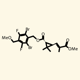 COCc1c(F)c(Br)c(COC(=O)[C@@H]2[C@@H](/C=C(\C)C(=O)OC)C2(C)C)c(Br)c1F